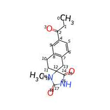 CCC(=O)c1ccc2c(c1)CCC1(C2)C(=O)NC(=O)N1C